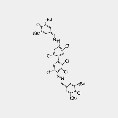 CC(C)(C)C1=CC(=C/N=N/c2cc(Cl)c(-c3cc(Cl)c(/N=N/C=C4C=C(C(C)(C)C)C(=O)C(C(C)(C)C)=C4)c(Cl)c3Cl)cc2Cl)C=C(C(C)(C)C)C1=O